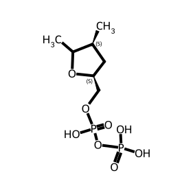 CC1O[C@H](COP(=O)(O)OP(=O)(O)O)C[C@@H]1C